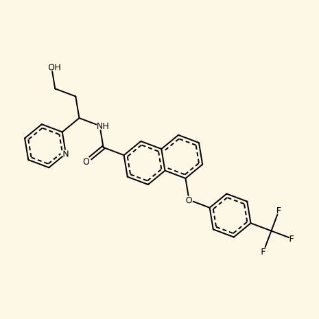 O=C(NC(CCO)c1ccccn1)c1ccc2c(Oc3ccc(C(F)(F)F)cc3)cccc2c1